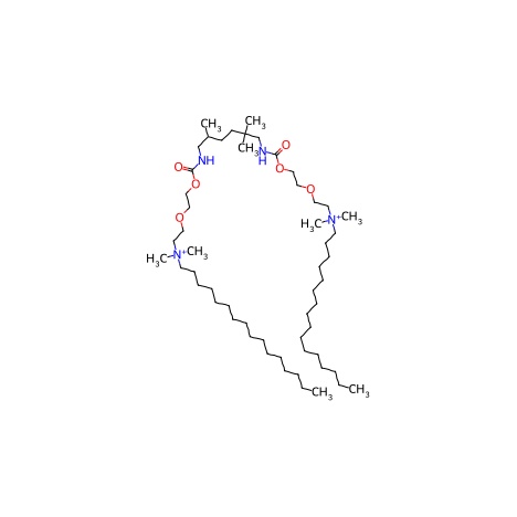 CCCCCCCCCCCCCCCC[N+](C)(C)CCOCCOC(=O)NCC(C)CCC(C)(C)CNC(=O)OCCOCC[N+](C)(C)CCCCCCCCCCCCCCCC